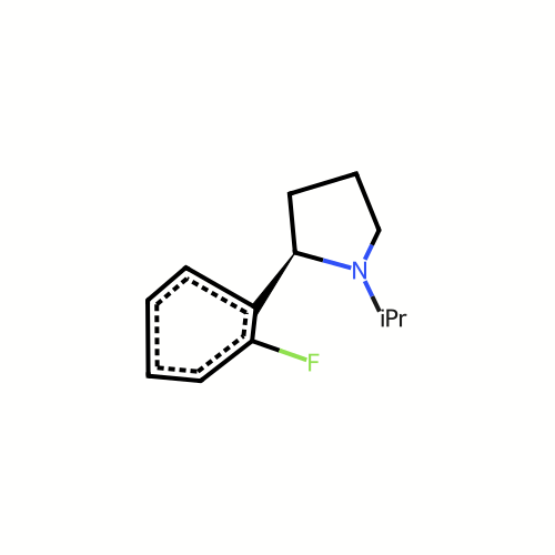 CC(C)N1CCC[C@@H]1c1ccccc1F